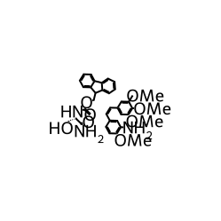 COc1ccc(/C=C\c2cc(OC)c(OC)c(OC)c2)cc1N.NC(=O)[C@H](CO)NC(=O)OCC1c2ccccc2-c2ccccc21